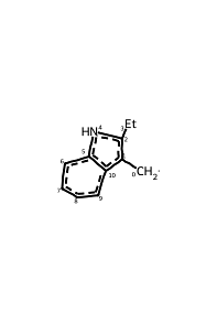 [CH2]c1c(CC)[nH]c2ccccc12